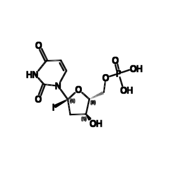 O=c1ccn([C@@]2(I)C[C@H](O)[C@@H](COP(=O)(O)O)O2)c(=O)[nH]1